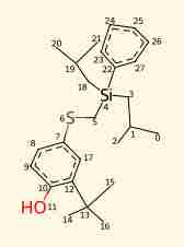 CC(C)C[Si](CSc1ccc(O)c(C(C)(C)C)c1)(CC(C)C)c1ccccc1